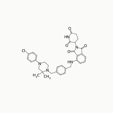 CC1(C)CN(c2ccc(Cl)cc2)CCN1Cc1ccc(CNc2cccc3c2C(=O)N(C2CCC(=O)NC2=O)C3=O)cc1